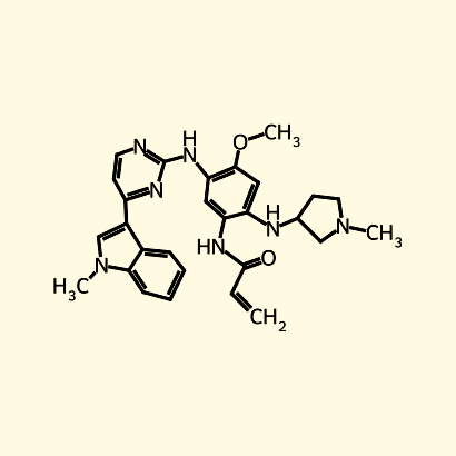 C=CC(=O)Nc1cc(Nc2nccc(-c3cn(C)c4ccccc34)n2)c(OC)cc1NC1CCN(C)C1